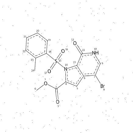 COC(=O)c1cc2c(Br)c[nH]c(=O)c2n1S(=O)(=O)c1ccccc1C